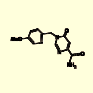 COc1ccc(Cn2cnc(C(N)=O)cc2=O)cc1